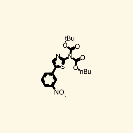 CCCCOC(=O)N(C(=O)OC(C)(C)C)c1ncc(-c2cccc([N+](=O)[O-])c2)s1